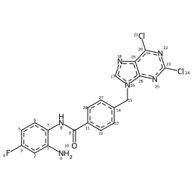 Nc1cc(F)ccc1NC(=O)c1ccc(Cn2cnc3c(Cl)nc(Cl)nc32)cc1